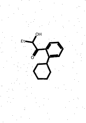 CCC(O)C(=O)c1ccccc1C1CCCCC1